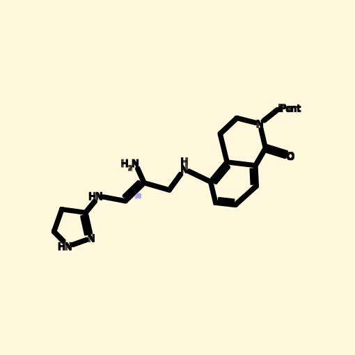 CCCC(C)N1CCc2c(NC/C(N)=C/NC3=NNCC3)cccc2C1=O